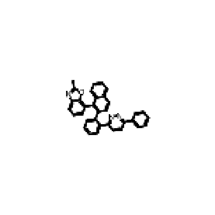 Cc1nc2cccc(-c3c(-c4ccccc4-c4ccc(-c5ccccc5)nn4)ccc4ccccc34)c2o1